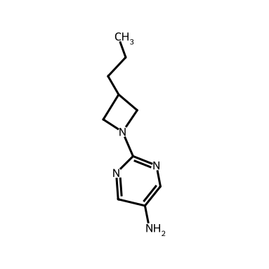 CCCC1CN(c2ncc(N)cn2)C1